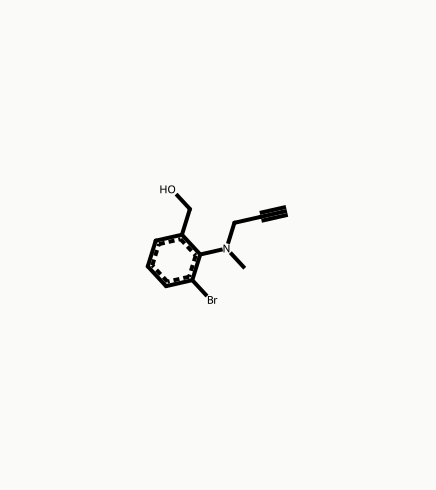 C#CCN(C)c1c(Br)cccc1CO